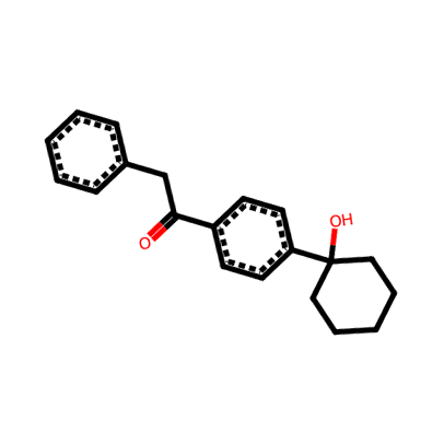 O=C(Cc1ccccc1)c1ccc(C2(O)CCCCC2)cc1